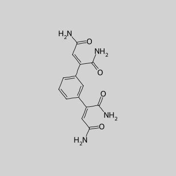 NC(=O)/C=C(\C(N)=O)c1cccc(/C(=C/C(N)=O)C(N)=O)c1